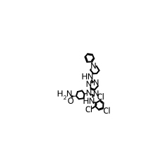 NC(=O)[C@H]1CC[C@@H](n2c(Nc3c(Cl)cc(Cl)cc3Cl)nc3cnc(N[C@@H]4CCCN(c5ccccc5)C4)nc32)CC1